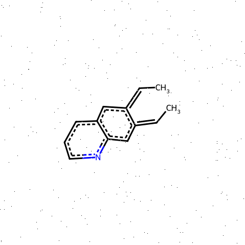 C/C=c1/cc2cccnc2c/c1=C/C